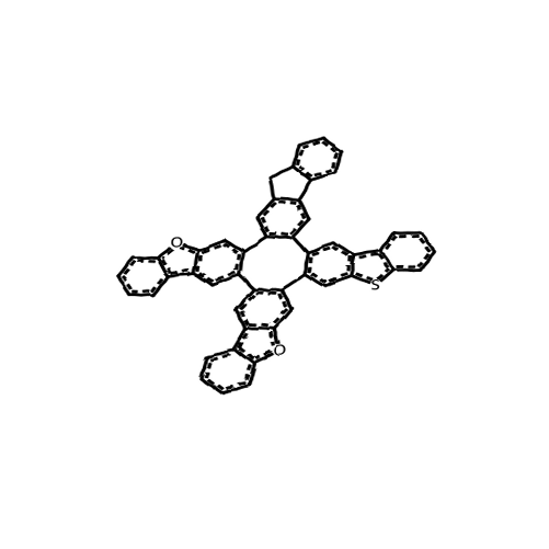 c1ccc2c(c1)Cc1cc3c(cc1-2)-c1cc2c(cc1-c1cc4oc5ccccc5c4cc1-c1cc4c(cc1-3)oc1ccccc14)sc1ccccc12